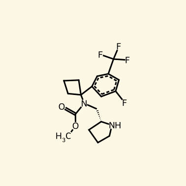 COC(=O)N(C[C@H]1CCCN1)C1(c2cc(F)cc(C(F)(F)F)c2)CCC1